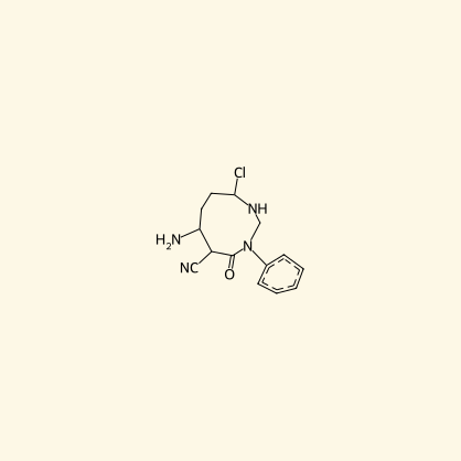 N#CC1C(=O)N(c2ccccc2)CNC(Cl)CCC1N